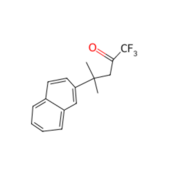 CC(C)(CC(=O)C(F)(F)F)c1ccc2ccccc2c1